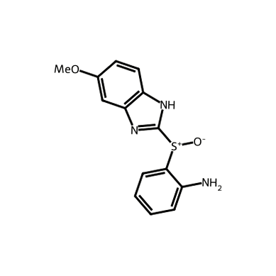 COc1ccc2[nH]c([S+]([O-])c3ccccc3N)nc2c1